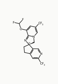 FC(F)OC1=CC(C(F)(F)F)=CN2C[C@@]3(CCc4cc(C(F)(F)F)ncc43)N=C12